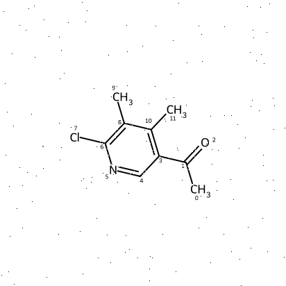 CC(=O)c1cnc(Cl)c(C)c1C